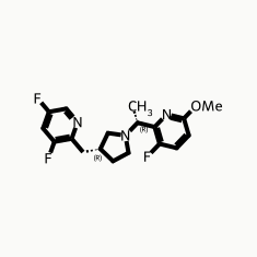 COc1ccc(F)c([C@@H](C)N2CC[C@H](Cc3ncc(F)cc3F)C2)n1